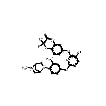 Cc1cc(Nc2ncc(C)c(Nc3ccc4c(c3)NC(=O)C(F)(F)O4)n2)ccc1N1CC2CC1CN2C